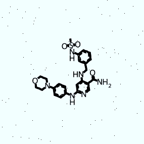 CS(=O)(=O)Nc1cccc(CNc2cc(Nc3ccc(N4CCOCC4)cc3)ncc2C(N)=O)c1